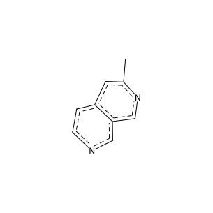 Cc1cc2ccncc2cn1